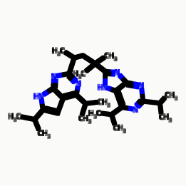 CC(C)c1nc(C(C)C)c2[nH]c(C(C)(C)CC(C)c3nc(C(C)C)c4cc(C(C)C)[nH]c4n3)nc2n1